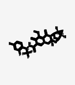 COc1c2n(cc(C(=O)N[C@@H](c3ccc(F)cc3F)C(F)(F)F)c1=O)C[C@@H]1OC3CC([C@H]4C[C@@H]34)N1C2=O